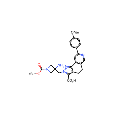 COc1ccc(-c2cc3c(cn2)CCc2c-3nn(CC3(N)CN(C(=O)OC(C)(C)C)C3)c2C(=O)O)cc1